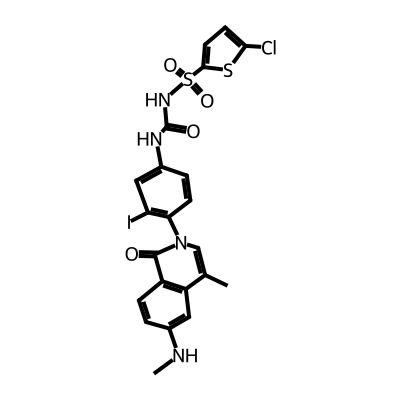 CNc1ccc2c(=O)n(-c3ccc(NC(=O)NS(=O)(=O)c4ccc(Cl)s4)cc3I)cc(C)c2c1